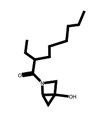 CCCCCCC(CC)C(=O)N1CC2(O)CC12